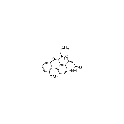 C=CCC1Oc2cccc(OC)c2-c2ccc3[nH]c(=O)cc(C)c3c21